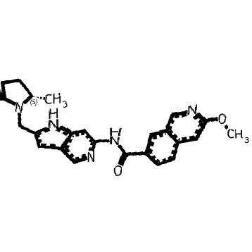 COc1cc2ccc(C(=O)Nc3cc4[nH]c(CN5CCC[C@@H]5C)cc4cn3)cc2cn1